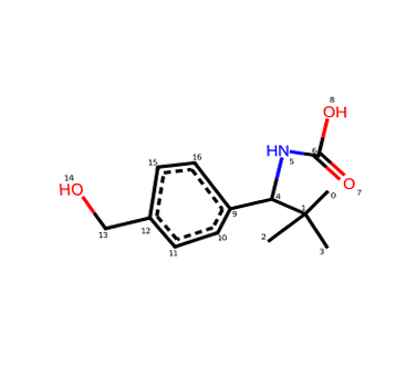 CC(C)(C)C(NC(=O)O)c1ccc(CO)cc1